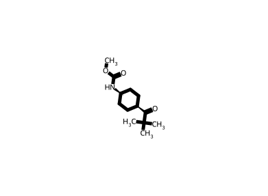 COC(=O)N[C@H]1CC[C@@H](C(=O)C(C)(C)C)CC1